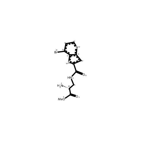 COC(=O)[C@H](N)CNC(=O)c1cc2nccc(Br)c2s1